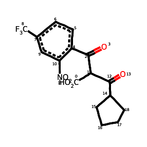 O=C(O)C(C(=O)c1ccc(C(F)(F)F)cc1[N+](=O)[O-])C(=O)C1CCCC1